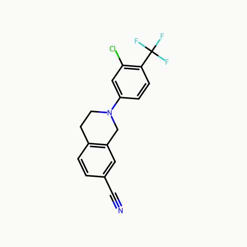 N#Cc1ccc2c(c1)CN(c1ccc(C(F)(F)F)c(Cl)c1)CC2